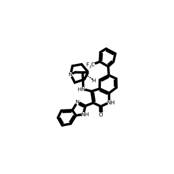 O=c1[nH]c2ccc(-c3ccccc3C(F)(F)F)cc2c(N[C@H]2CN3CCC2CC3)c1-c1nc2ccccc2[nH]1